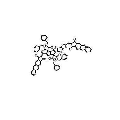 O=C1C(=CC2=CC3=C(c4sc5c(sc6cc(C=C7C(=O)c8cc9cc%10ccccc%10cc9cc8C7=O)sc65)c4C3(C(=O)OCc3ccccc3)C(=O)OCc3ccccc3)C2(C(=O)OCc2ccccc2)C(=O)OCc2ccccc2)C(=O)c2cc3cc4ccccc4cc3cc21